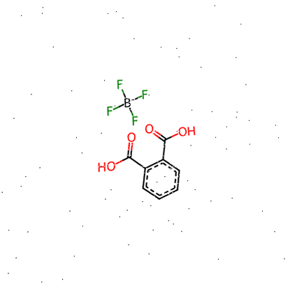 F[B-](F)(F)F.O=C(O)c1ccccc1C(=O)O